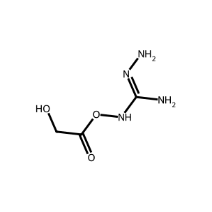 NN=C(N)NOC(=O)CO